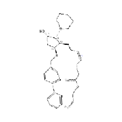 C=CCOC(=O)CC/C=C\CC[C@@H]1[C@@H](N2CCCCC2)[C@@H](O)C[C@@H]1OCc1ccc(-c2ccccc2)cc1